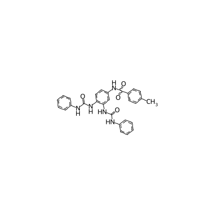 Cc1ccc(S(=O)(=O)Nc2ccc(NC(=O)Nc3ccccc3)c(NC(=O)Nc3ccccc3)c2)cc1